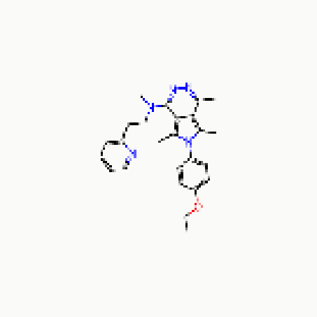 CCOc1ccc(-n2c(C)c3c(C)nnc(N(C)CCc4ccccn4)c3c2C)cc1